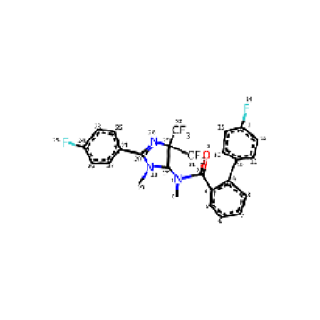 CN(C(=O)c1ccccc1-c1ccc(F)cc1)C1N(C)C(c2ccc(F)cc2)=NC1(C(F)(F)F)C(F)(F)F